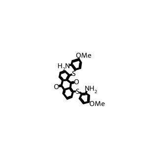 COc1ccc(Sc2cccc3c2C(=O)c2c(Sc4ccc(OC)cc4N)cccc2C3=O)c(N)c1